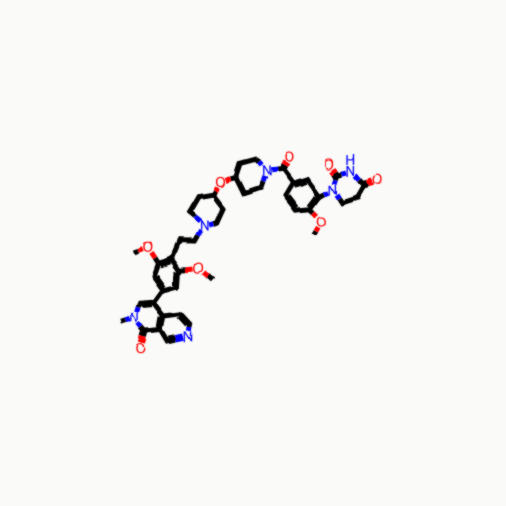 COc1ccc(C(=O)N2CCC(OC3CCN(CCc4c(OC)cc(-c5cn(C)c(=O)c6cnccc56)cc4OC)CC3)CC2)cc1N1CCC(=O)NC1=O